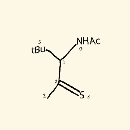 CC(=O)NC(C(C)=S)C(C)(C)C